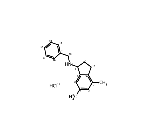 Cc1cc(C)c2c(c1)C(NCc1ccccc1)CC2.Cl